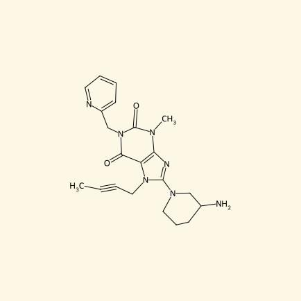 CC#CCn1c(N2CCCC(N)C2)nc2c1c(=O)n(Cc1ccccn1)c(=O)n2C